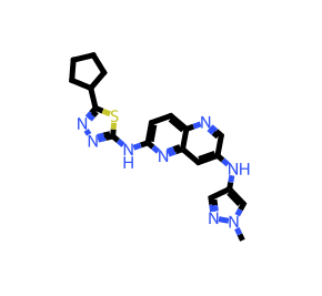 Cn1cc(Nc2cnc3ccc(Nc4nnc(C5CCCC5)s4)nc3c2)cn1